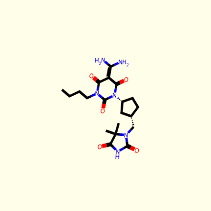 CCCCN1C(=O)C(=C(N)N)C(=O)N([C@@H]2CC[C@H](CN3C(=O)NC(=O)C3(C)C)C2)C1=O